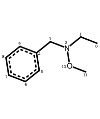 CCN(Cc1ccccc1)OC